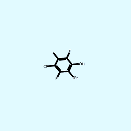 Cc1c(F)c(O)c(C(C)C)c(F)c1Cl